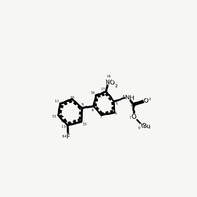 CC(C)(C)OC(=O)Nc1ccc(-c2cccc(F)c2)cc1[N+](=O)[O-]